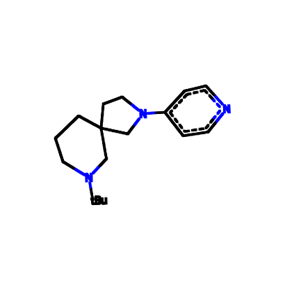 CC(C)(C)N1CCCC2(CCN(c3ccncc3)C2)C1